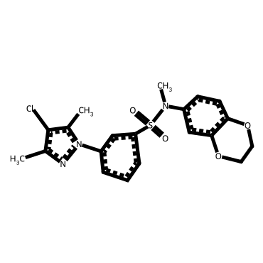 Cc1nn(-c2cccc(S(=O)(=O)N(C)c3ccc4c(c3)OCCO4)c2)c(C)c1Cl